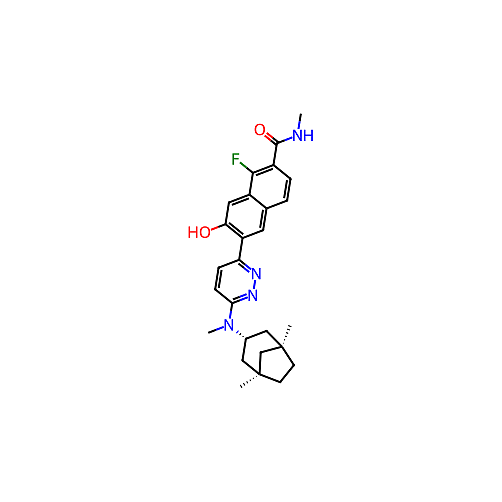 CNC(=O)c1ccc2cc(-c3ccc(N(C)[C@H]4C[C@]5(C)CC[C@](C)(C4)C5)nn3)c(O)cc2c1F